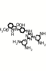 COc1cccc(C(=O)Nc2ccc(Nc3nc(N4C[C@H](N)C[C@H](N)C4)nc(N4C[C@H](N)C[C@H](N)C4)n3)cc2O)c1O